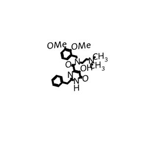 COc1cccc(CN(CCN(C)C)C(=O)c2nc(Cc3ccccc3)[nH]c(=O)c2O)c1OC